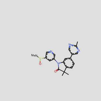 CN[S+]([O-])c1cncc(N2C(=O)C(C)(C)c3ccc(-c4cnc(C)nc4)cc32)c1